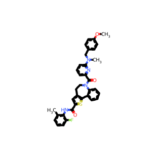 COc1ccc(CN(C)c2cccc(C(=O)N3CCc4cc(C(=O)Nc5c(C)cccc5F)sc4-c4ccccc43)n2)cc1